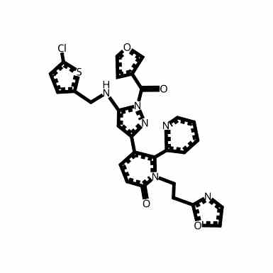 O=C(c1ccoc1)n1nc(-c2ccc(=O)n(CCc3ncco3)c2-c2ccccn2)cc1NCc1ccc(Cl)s1